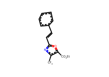 CCOC(=O)c1oc(/C=C/c2ccccc2)nc1C(F)(F)F